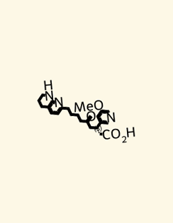 COc1cncc([C@H](CC(=O)O)CC(=O)CCCCc2ccc3c(n2)NCCC3)c1